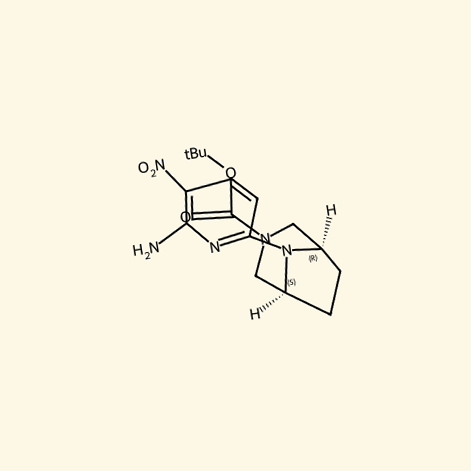 CC(C)(C)OC(=O)N1C[C@H]2CC[C@@H](C1)N2c1ccc([N+](=O)[O-])c(N)n1